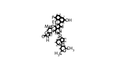 CCc1c(F)ccc2cc(O)cc(-c3nc(OC)c4c(N5CCC[C@]6(CNC(=O)O6)C5)nc(OC[C@]56CCC[C@H]5N(C5C[C@@H](C)O[C@@H](C)C5)CCC6)nc4c3F)c12